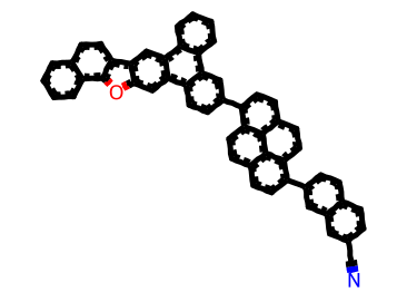 N#Cc1ccc2ccc(-c3ccc4ccc5c(-c6ccc7c(c6)c6ccccc6c6cc8c(cc76)oc6c7ccccc7ccc86)ccc6ccc3c4c65)cc2c1